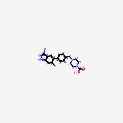 Cc1cc2[nH]nc(I)c2cc1-c1ccc(CN2CCN(C(=O)O)CC2)cc1